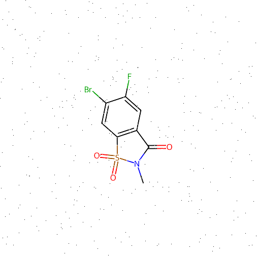 CN1C(=O)c2cc(F)c(Br)cc2S1(=O)=O